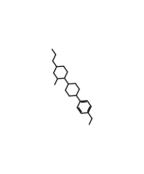 CCCC1CCC(C2CCC(c3ccc(CC)cc3)CC2)C(C)C1